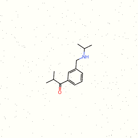 CC(C)NCc1cccc(C(=O)C(C)C)c1